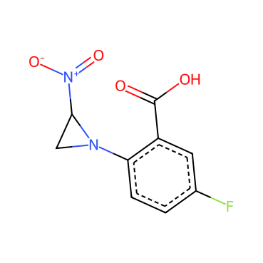 O=C(O)c1cc(F)ccc1N1CC1[N+](=O)[O-]